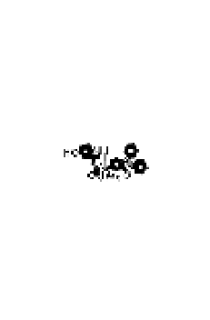 COC(=O)[C@H](Cc1c[nH]c2ccc(O)cc12)NC(=O)c1ccc2c(c1)c(=O)n(-c1ccccc1)n2C1CCCCC1